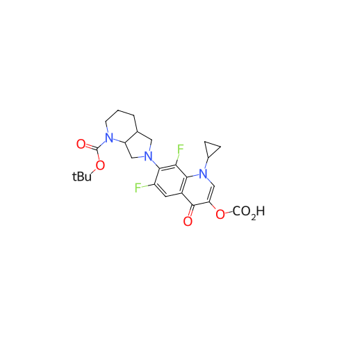 CC(C)(C)OC(=O)N1CCCC2CN(c3c(F)cc4c(=O)c(OC(=O)O)cn(C5CC5)c4c3F)CC21